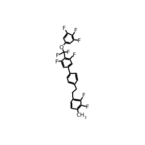 Cc1ccc(CCc2ccc(-c3cc(F)c(C(F)(F)Oc4cc(F)c(F)c(F)c4)c(F)c3)cc2)c(F)c1F